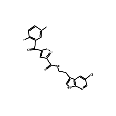 O=C(NCCc1c[nH]c2ncc(Cl)cc12)c1cc(C(=O)c2cc(F)ccc2F)on1